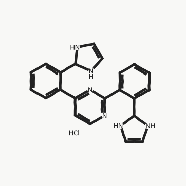 C1=CNC(c2ccccc2-c2ccnc(-c3ccccc3C3NC=CN3)n2)N1.Cl